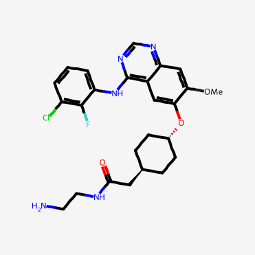 COc1cc2ncnc(Nc3cccc(Cl)c3F)c2cc1O[C@H]1CC[C@H](CC(=O)NCCN)CC1